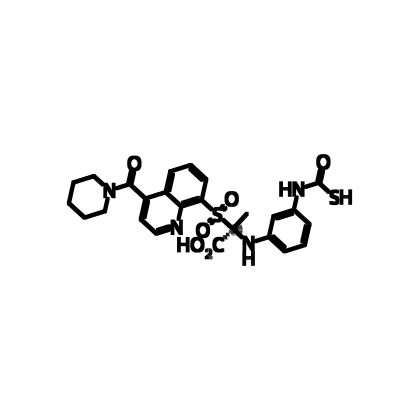 C[C@](Nc1cccc(NC(=O)S)c1)(C(=O)O)S(=O)(=O)c1cccc2c(C(=O)N3CCCCC3)ccnc12